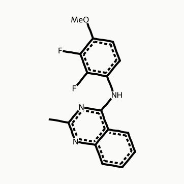 COc1ccc(Nc2nc(C)nc3ccccc23)c(F)c1F